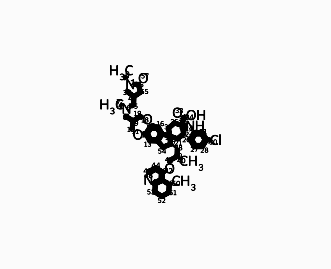 CCN1CC(CN(C)CC2COc3cc4c(cc3OC2)C2(CCC(Nc3cccc(Cl)c3)(C(=O)O)CC2)[C@@H](C[C@@H](C)COc2ccnc3c2[C@H](C)CCC3)C4)CC1=O